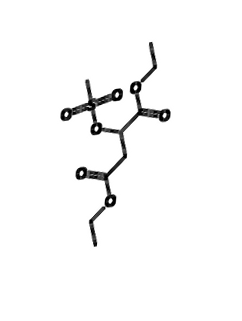 CCOC(=O)CC(OS(C)(=O)=O)C(=O)OCC